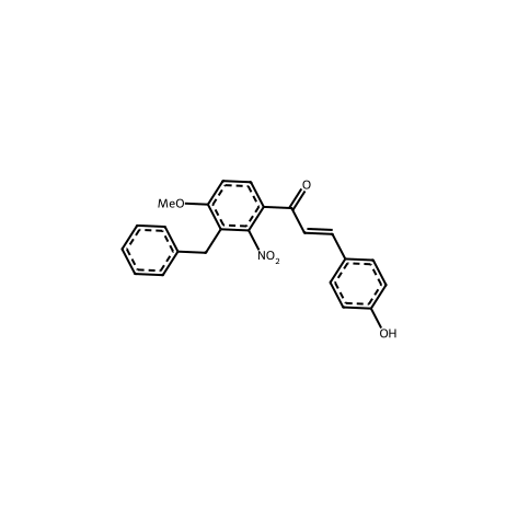 COc1ccc(C(=O)C=Cc2ccc(O)cc2)c([N+](=O)[O-])c1Cc1ccccc1